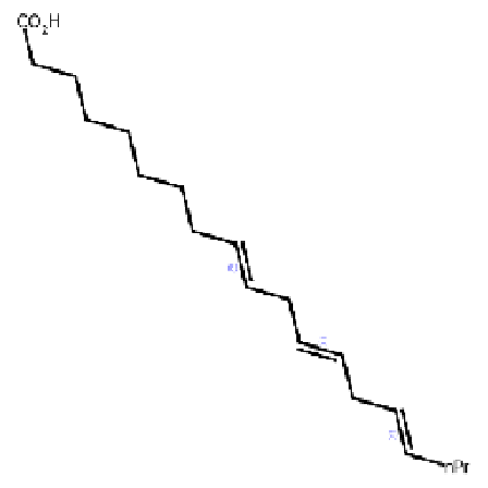 CCC/C=C/C/C=C/C/C=C/CCCCCCCC(=O)O